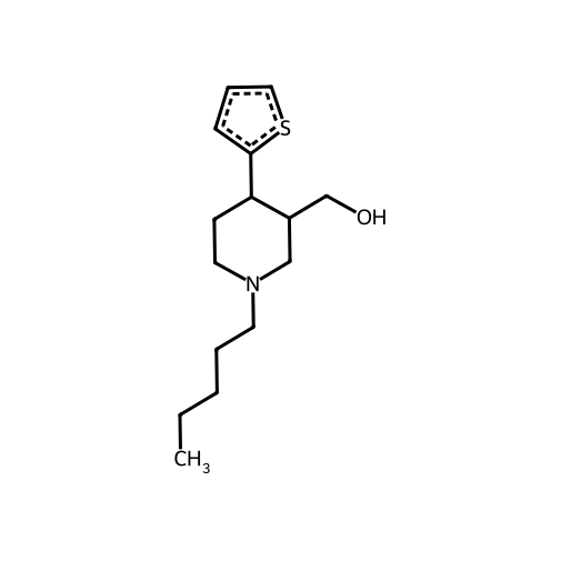 CCCCCN1CCC(c2cccs2)C(CO)C1